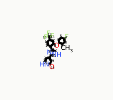 Cc1cc(F)ccc1Oc1cc(C(F)(F)F)ccc1-c1c[nH]c(-c2cc[nH]c(=O)c2)n1